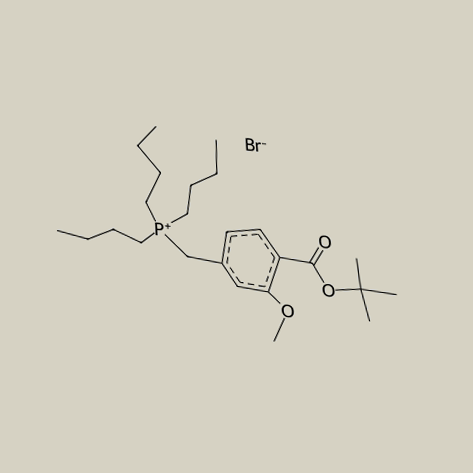 CCCC[P+](CCCC)(CCCC)Cc1ccc(C(=O)OC(C)(C)C)c(OC)c1.[Br-]